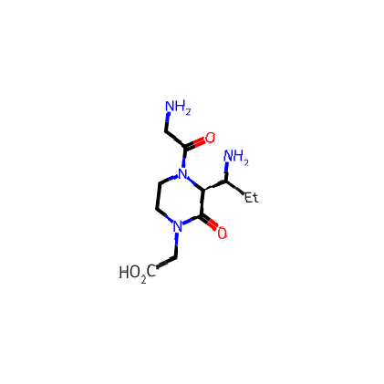 CCC(N)[C@H]1C(=O)N(CC(=O)O)CCN1C(=O)CN